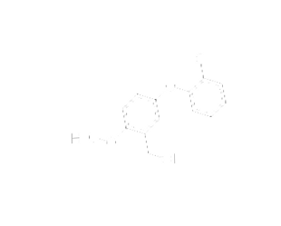 COc1ccc(Oc2ccccc2Cl)cc1CO